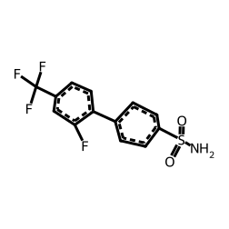 NS(=O)(=O)c1ccc(-c2ccc(C(F)(F)F)cc2F)cc1